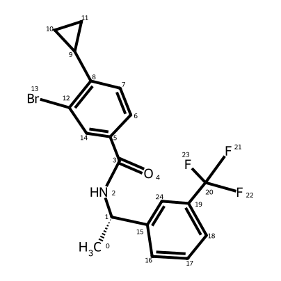 C[C@H](NC(=O)c1ccc(C2CC2)c(Br)c1)c1cccc(C(F)(F)F)c1